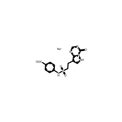 O=C([O-])c1ccc(NS(=O)(=O)CCc2c[nH]n3c(=O)ncnc23)cc1.[Na+]